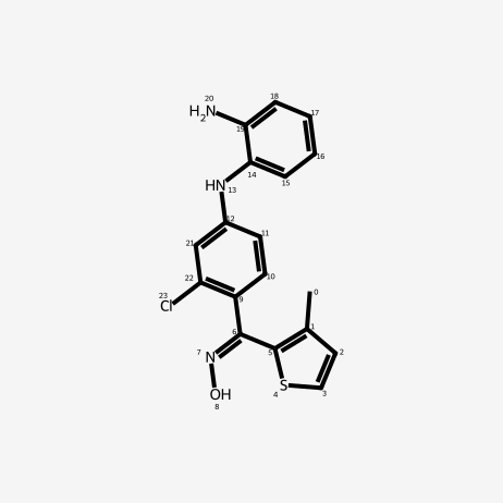 Cc1ccsc1C(=NO)c1ccc(Nc2ccccc2N)cc1Cl